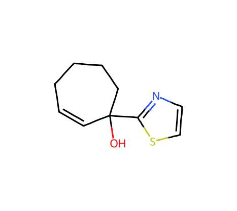 OC1(c2nccs2)C=CCCCC1